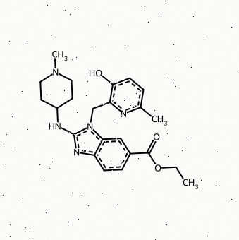 CCOC(=O)c1ccc2nc(NC3CCN(C)CC3)n(Cc3nc(C)ccc3O)c2c1